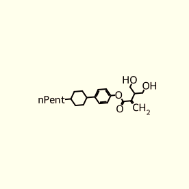 C=C(C(=O)Oc1ccc(C2CCC(CCCCC)CC2)cc1)C(CO)CO